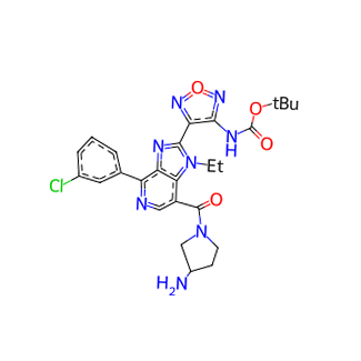 CCn1c(-c2nonc2NC(=O)OC(C)(C)C)nc2c(-c3cccc(Cl)c3)ncc(C(=O)N3CCC(N)C3)c21